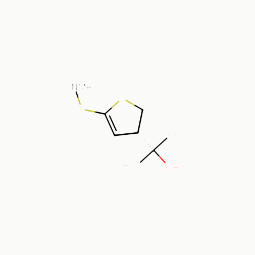 CNSC1=C[C@@H](C(C)(C)O)CS1